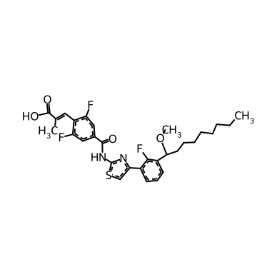 CCCCCCCCC(OC)c1cccc(-c2csc(NC(=O)c3cc(F)c(C=C(C)C(=O)O)c(F)c3)n2)c1F